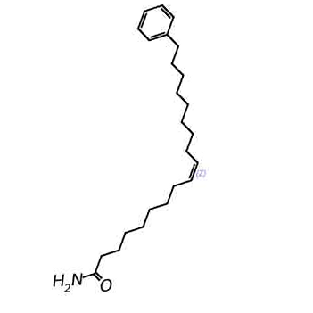 NC(=O)CCCCCCC/C=C\CCCCCCCCc1ccccc1